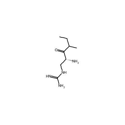 CCC(C)C(=O)[C@H](N)CNC(=N)N